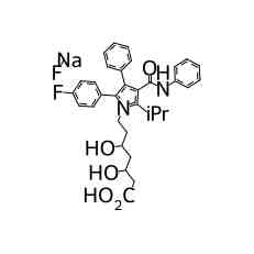 CC(C)c1c(C(=O)Nc2ccccc2)c(-c2ccccc2)c(-c2ccc(F)cc2)n1CCC(O)CC(O)CC(=O)O.[F][Na]